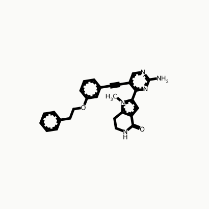 Cn1c(-c2nc(N)ncc2C#Cc2cccc(OCCc3ccccc3)c2)cc2c1CCNC2=O